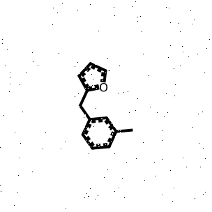 Cc1cccc(Cc2cc[c]o2)c1